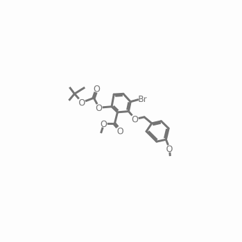 COC(=O)c1c(OC(=O)OC(C)(C)C)ccc(Br)c1OCc1ccc(OC)cc1